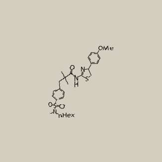 CCCCCCN(C)S(=O)(=O)c1ccc(CC(C)(C)C(=O)NC2=NC(c3ccc(OC)cc3)CS2)cc1